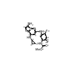 COC(=O)Nc1cc(Nc2cc(NC3CC3)c3ncc(N)n3n2)c(F)cc1F